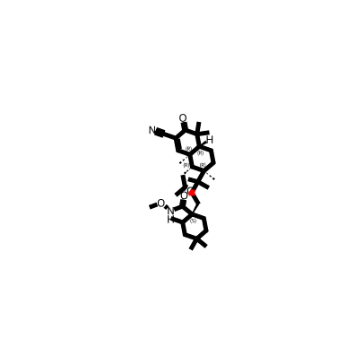 CONC(=O)[C@]1(CCC(C)(C)[C@]2(C)CC[C@H]3C(C)(C)C(=O)C(C#N)=C[C@]3(C)[C@H]2CC(C)=O)CCC(C)(C)CC1C